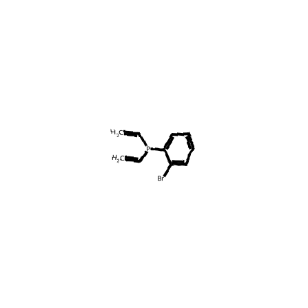 C=CP(C=C)c1ccccc1Br